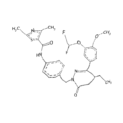 CCC1CC(=O)N(Cc2ccc(NC(=O)c3sc(C)nc3C)cc2)N=C1c1ccc(OC)c(OC(F)F)c1